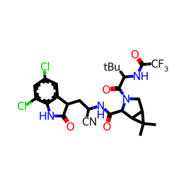 CC(C)(C)C(NC(=O)C(F)(F)F)C(=O)N1CC2C(C1C(=O)NC(C#N)CC1C(=O)Nc3c(Cl)cc(Cl)cc31)C2(C)C